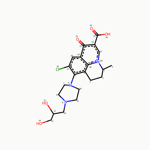 CC1CCc2c(N3CCN(CC(O)CO)CC3)c(Cl)cc3c(=O)c(C(=O)O)cn1c23